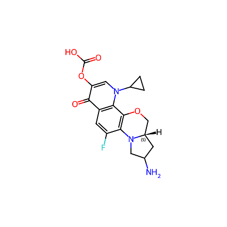 NC1C[C@H]2COc3c(c(F)cc4c(=O)c(OC(=O)O)cn(C5CC5)c34)N2C1